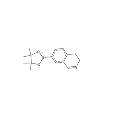 CC1(C)OB(c2ccc3c(c2)C=NCC3)OC1(C)C